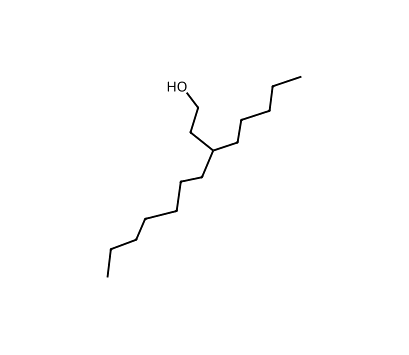 CCCCCCCC(CCO)CCCCC